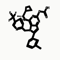 Cc1cccc(-c2cc3nc(OC(=O)O)nc(N[C@H](C)C4CCC4)c3n2Cc2ccc(C(F)(F)F)cn2)c1